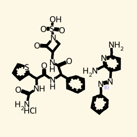 Cl.NC(=O)NC(C(=O)NC(C(=O)NC1CN(S(=O)(=O)O)C1=O)c1ccccc1)c1cccs1.Nc1ccc(/N=N/c2ccccc2)c(N)n1